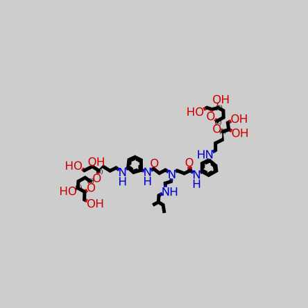 CCC(C)CNCCN(CCC(=O)Nc1cccc(NCCC[C@@H](O[C@H]2CC[C@@H](O)C(CO)O2)C(O)CO)c1)CCC(=O)Nc1cccc(NCCC[C@@H](O[C@H]2CC[C@@H](O)C(CO)O2)C(O)CO)c1